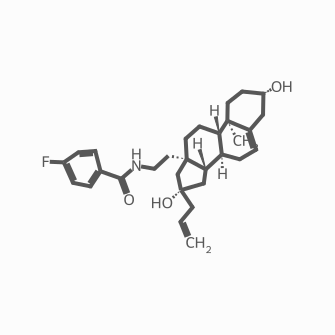 C=CC[C@]1(O)C[C@H]2[C@@H]3CC=C4C[C@@H](O)CC[C@]4(C)[C@H]3CC[C@]2(CCNC(=O)c2ccc(F)cc2)C1